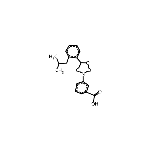 CC(C)Cc1ccccc1C1OON(c2cccc(C(=O)O)c2)O1